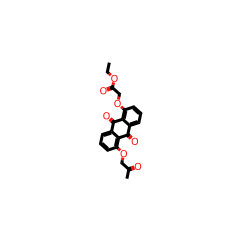 CCOC(=O)COc1cccc2c1C(=O)c1cccc(OCC(C)=O)c1C2=O